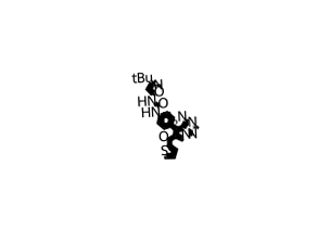 CC(C)(C)c1cc(NC(=O)Nc2ccc(-c3c(C(=O)c4cccs4)cn4ncnc(N)c34)cc2)on1